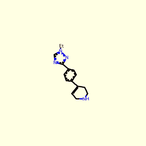 CCn1cnc(-c2ccc(C3=CCNCC3)cc2)n1